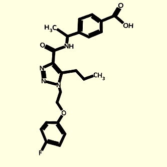 CCCc1c(C(=O)NC(C)c2ccc(C(=O)O)cc2)nnn1CCOc1ccc(F)cc1